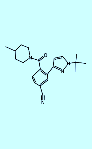 CC1CCN(C(=O)c2ccc(C#N)cc2-c2ccn(C(C)(C)C)n2)CC1